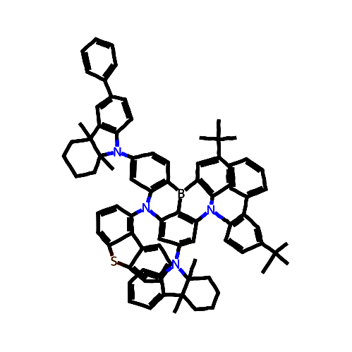 CC(C)(C)c1ccc2c(c1)B1c3ccc(N4c5ccc(-c6ccccc6)cc5C5(C)CCCCC45C)cc3N(c3cccc4sc5ccccc5c34)c3cc(N4c5ccccc5C5(C)CCCCC45C)cc(c31)N2c1ccc(C(C)(C)C)cc1-c1ccccc1